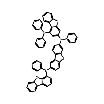 c1ccc(N(c2ccc3c(c2)sc2ccc(N(c4ccccc4)c4cccc5c4oc4ccccc45)cc23)c2cc(N(c3ccccc3)c3ccccc3)c3c(c2)sc2ccccc23)cc1